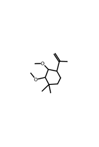 C=C(C)C1CCC(C)(C)C(OC)C1OC